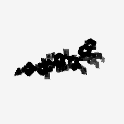 COc1cc(N2C[C@@H]3CN(C4CN(C(C)=O)C4)C[C@@H]3C2)c(C)cc1Nc1ncc(Br)c(Nc2ccc3nccnc3c2P(C)C)n1